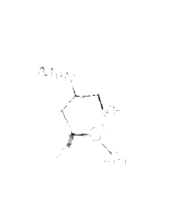 CNC(CC(=O)OC(C)C)CC(C)C